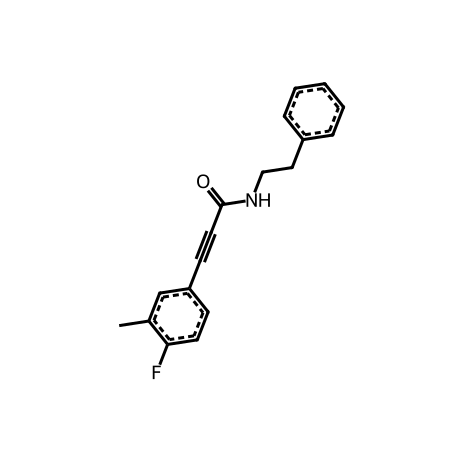 Cc1cc(C#CC(=O)NCCc2ccccc2)ccc1F